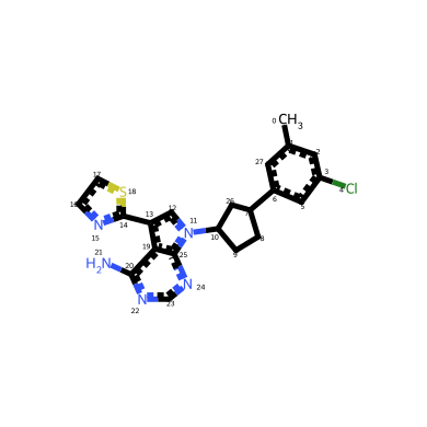 Cc1cc(Cl)cc(C2CCC(n3cc(-c4nccs4)c4c(N)ncnc43)C2)c1